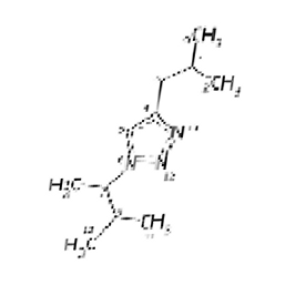 CC(C)Cc1cn(C(C)C(C)C)nn1